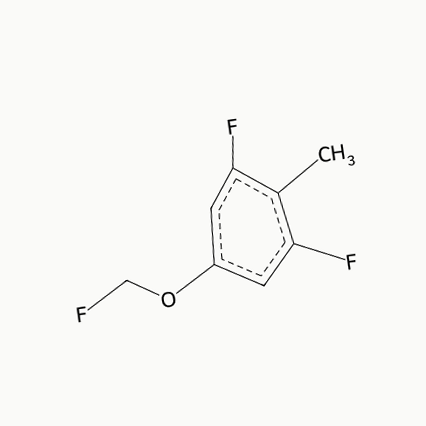 Cc1c(F)cc(OCF)cc1F